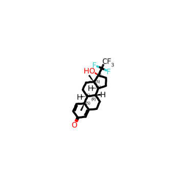 C[C@]12C=CC(=O)C=C1CC[C@@H]1[C@@H]2CC[C@@]2(C)[C@H]1CC[C@@]2(O)C(F)(F)C(F)(F)F